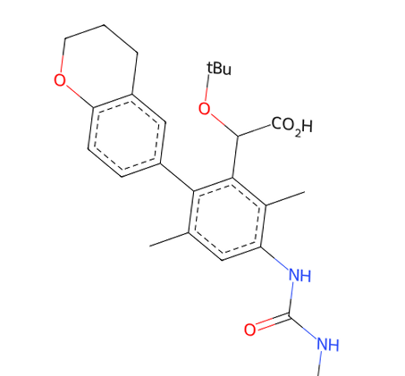 CCNC(=O)Nc1cc(C)c(-c2ccc3c(c2)CCCO3)c(C(OC(C)(C)C)C(=O)O)c1C